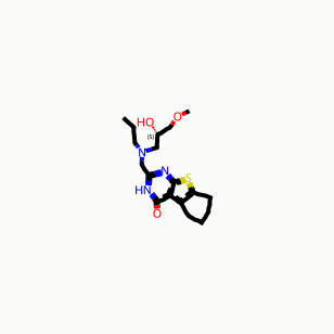 CCCN(Cc1nc2sc3c(c2c(=O)[nH]1)CCCC3)C[C@H](O)COC